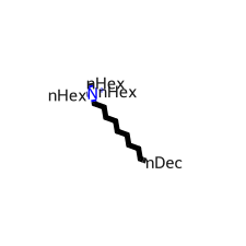 CCCCCCCCCCCCCCCCCCC[N+](CCCCCC)(CCCCCC)CCCCCC